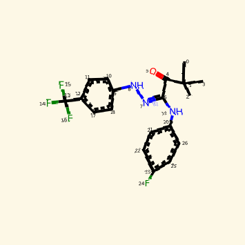 CC(C)(C)C(=O)/C(=N\Nc1ccc(C(F)(F)F)cc1)Nc1ccc(F)cc1